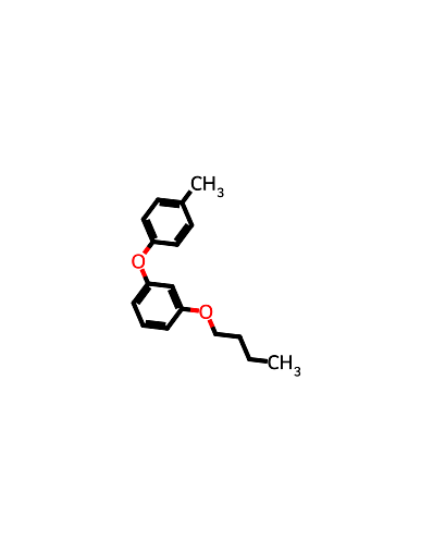 CCCCOc1cccc(Oc2ccc(C)cc2)c1